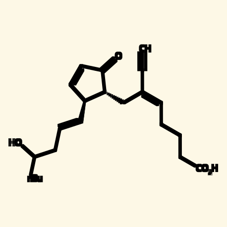 C#C/C(=C/CCCC(=O)O)C[C@H]1C(=O)C=C[C@@H]1C=CCC(O)CCCC